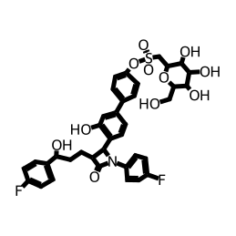 O=C1C(CCC(O)c2ccc(F)cc2)C(c2ccc(-c3ccc(OS(=O)(=O)CC4OC(CO)C(O)C(O)C4O)cc3)cc2O)N1c1ccc(F)cc1